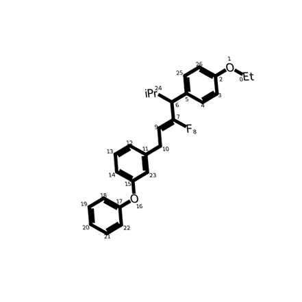 CCOc1ccc(C(/C(F)=C/Cc2cccc(Oc3ccccc3)c2)C(C)C)cc1